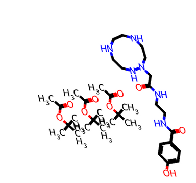 CC(=O)OC(C)(C)C.CC(=O)OC(C)(C)C.CC(=O)OC(C)(C)C.O=C(CN1CCNCCNCCN1)NCCNC(=O)c1ccc(O)cc1